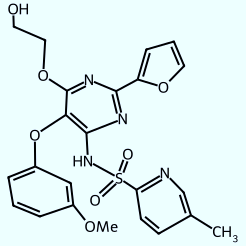 COc1cccc(Oc2c(NS(=O)(=O)c3ccc(C)cn3)nc(-c3ccco3)nc2OCCO)c1